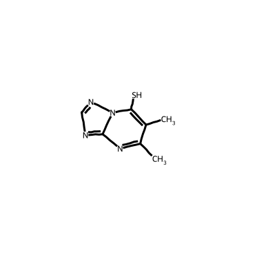 Cc1nc2ncnn2c(S)c1C